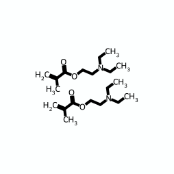 C=C(C)C(=O)OCCN(CC)CC.C=C(C)C(=O)OCCN(CC)CC